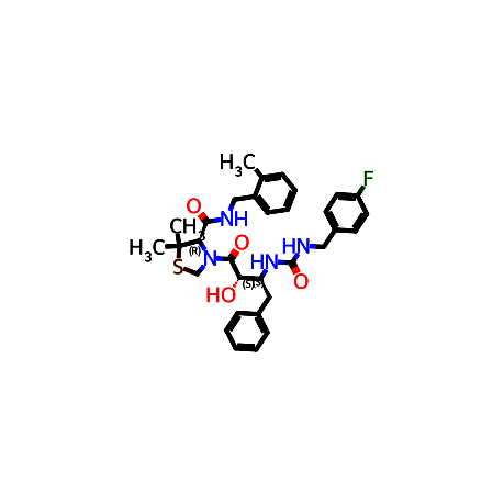 Cc1ccccc1CNC(=O)[C@H]1N(C(=O)[C@@H](O)[C@H](Cc2ccccc2)NC(=O)NCc2ccc(F)cc2)CSC1(C)C